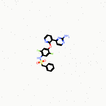 Nc1nccc(-c2cccnc2Oc2cc(F)c(NS(=O)(=O)Cc3ccccc3)cc2F)n1